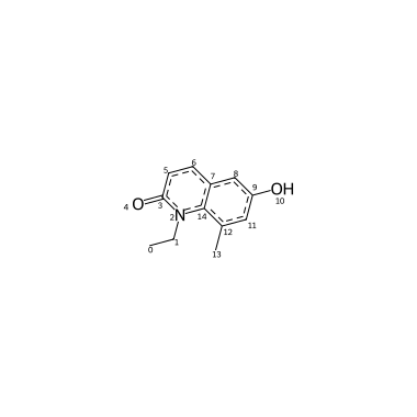 CCn1c(=O)ccc2cc(O)cc(C)c21